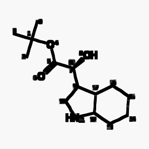 CC(C)(C)OC(=O)[C@@H](O)C1CNC2CCCCC21